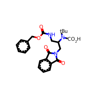 CC(C)(C)N(C(=O)O)C(CNC(=O)OCc1ccccc1)CN1C(=O)c2ccccc2C1=O